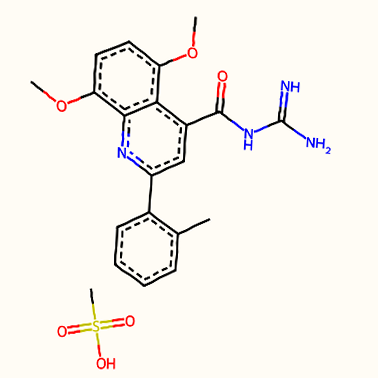 COc1ccc(OC)c2c(C(=O)NC(=N)N)cc(-c3ccccc3C)nc12.CS(=O)(=O)O